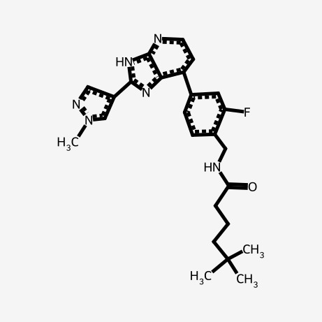 Cn1cc(-c2nc3c(-c4ccc(CNC(=O)CCCC(C)(C)C)c(F)c4)ccnc3[nH]2)cn1